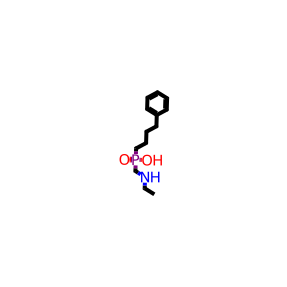 CCNCP(=O)(O)CCCCc1ccccc1